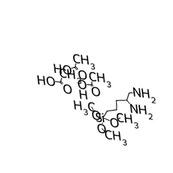 CC(=O)O.CC(=O)O.CC(=O)O.CO[Si](CCCC(N)CN)(OC)OC